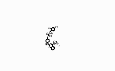 CN(C)c1nc(NC2CCC(CNC(=O)NCc3ccc(Cl)cc3Cl)CC2)nc2ccccc12